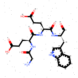 NCC(=O)N[C@@H](CCC(=O)O)C(=O)N[C@@H](CCC(=O)O)C(=O)N[C@H]([C]=O)Cc1c[nH]c2ccccc12